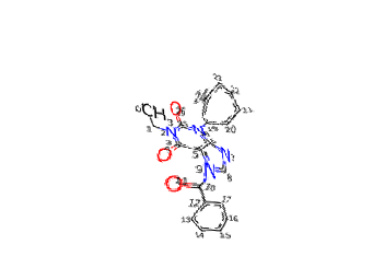 CCn1c(=O)c2c(ncn2C(=O)c2ccccc2)n(-c2ccccc2)c1=O